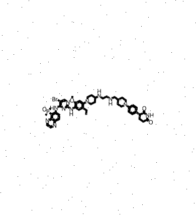 CCc1cc(Nc2ncc(Br)c(Nc3ccc4nccnc4c3P(C)(C)=O)n2)c(OC)cc1N1CCC(NCCNCC2CCN(c3ccc(C4CCC(=O)NC4=O)cc3)CC2)CC1